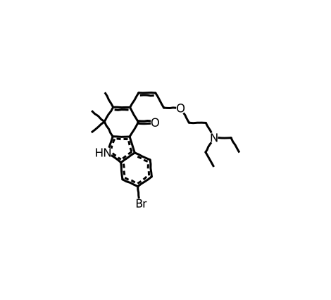 CCN(CC)CCOC/C=C\C1=C(C)C(C)(C)c2[nH]c3cc(Br)ccc3c2C1=O